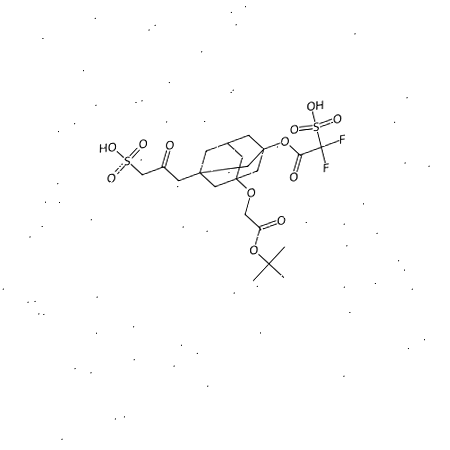 CC(C)(C)OC(=O)COC12CC3CC(CC(=O)CS(=O)(=O)O)(C1)CC(OC(=O)C(F)(F)S(=O)(=O)O)(C3)C2